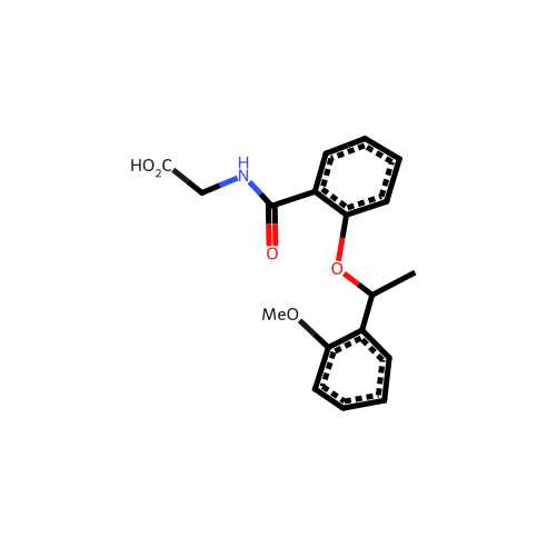 COc1ccccc1C(C)Oc1ccccc1C(=O)NCC(=O)O